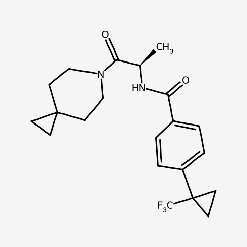 C[C@@H](NC(=O)c1ccc(C2(C(F)(F)F)CC2)cc1)C(=O)N1CCC2(CC1)CC2